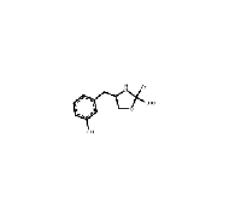 CC(=O)C1(C=O)NC(Cc2cccc(O)c2)CO1